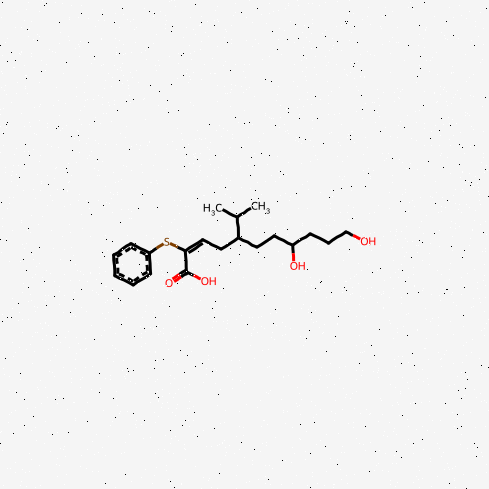 CC(C)C(CC=C(Sc1ccccc1)C(=O)O)CCC(O)CCCO